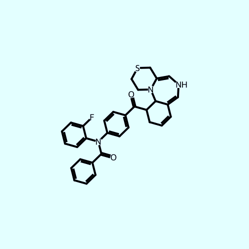 O=C(c1ccc(N(C(=O)c2ccccc2)c2ccccc2F)cc1)C1CC=CC2=CNC=C3CSCCN3C21